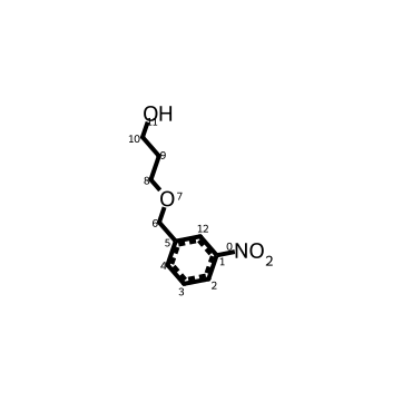 O=[N+]([O-])c1cccc(COCCCO)c1